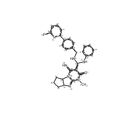 Cn1c(=O)/c(=C(/NCc2ccc(-c3cccc(F)n3)cc2)Nc2ccccc2)c(=N)n2c1=NC1CCCC12